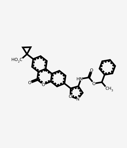 CC(OC(=O)Nc1cnoc1-c1ccc2c(c1)oc(=O)c1cc(C3(C(=O)O)CC3)ccc12)c1ccccc1